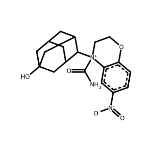 NC(=O)[N+]1(C2C3CC4CC2CC(O)(C4)C3)CCOc2ccc([N+](=O)[O-])cc21